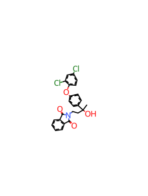 CC(O)(CCN1C(=O)c2ccccc2C1=O)c1ccc(Oc2ccc(Cl)cc2Cl)cc1